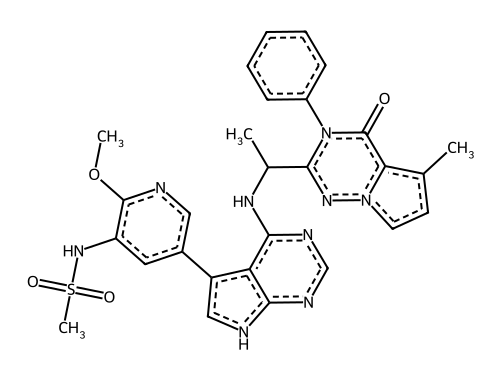 COc1ncc(-c2c[nH]c3ncnc(NC(C)c4nn5ccc(C)c5c(=O)n4-c4ccccc4)c23)cc1NS(C)(=O)=O